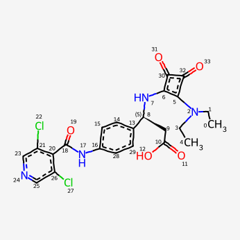 CCN(CC)c1c(N[C@@H](CC(=O)O)c2ccc(NC(=O)c3c(Cl)cncc3Cl)cc2)c(=O)c1=O